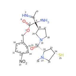 CC(=N)C(N)(C(=O)OCc1ccc([N+](=O)[O-])cc1)[C@H]1CCN(C(=O)[C@@H]2C[C@H](S)CN2C)C1